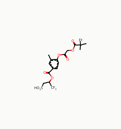 CCC(C)(C)C(=O)OCC(=O)Oc1ccc(C(=O)OC(CS(=O)(=O)O)C(F)(F)F)cc1C